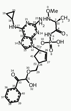 CON[C@@H](C)C(=O)NP(=O)(O)O[C@]1(n2cnc3c(NC4CC4)nc(N)nc32)C=C[C@@H](COC(O)C(=O)c2ccccc2)C1